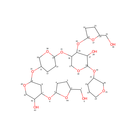 OCC1CCC(OC2CC(OC3CCC(OC4COC(OC5CCCOC5)C(O)C4OC4CCC(CO)O4)OC3)OCC2O)O1